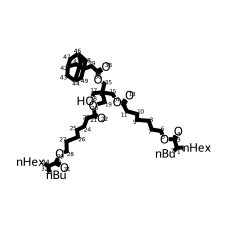 CCCCCCC(CCCC)C(=O)OCCCCCCC(=O)OCC(CO)(COC(=O)CCCCCCOC(=O)C(CCCC)CCCCCC)COC(=O)CC12CC3CC(CC(C3)C1)C2